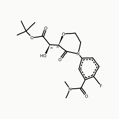 CN(C)C(=O)c1cc(N2CCO[C@H]([C@@H](O)C(=O)OC(C)(C)C)C2=O)ccc1F